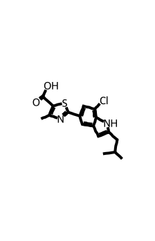 Cc1nc(-c2cc(Cl)c3[nH]c(CC(C)C)cc3c2)sc1C(=O)O